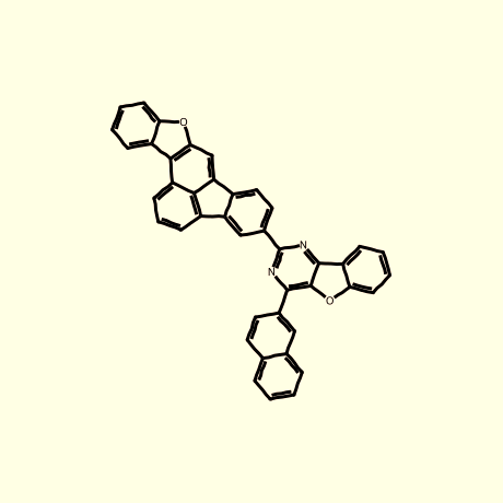 c1ccc2cc(-c3nc(-c4ccc5c(c4)-c4cccc6c4c-5cc4oc5ccccc5c46)nc4c3oc3ccccc34)ccc2c1